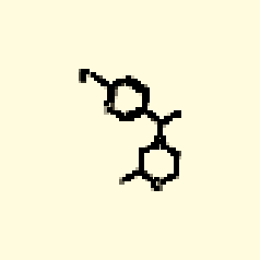 CC1CN(C(C)c2ccc(C(C)C)nc2)CCO1